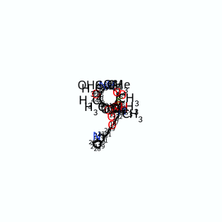 CC[C@H]1OC(=O)[C@@](C)(F)C(=O)[C@H](C)[C@@H](O[C@@H]2OC(COC/C=C/c3cnc4ccccc4c3)CC(N(C)C)C2O)[C@](C)(OC)C[C@@H](C)C(=O)[C@H](C)[C@@H](NC=O)[C@]1(C)OC